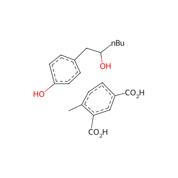 CCCCC(O)Cc1ccc(O)cc1.Cc1ccc(C(=O)O)cc1C(=O)O